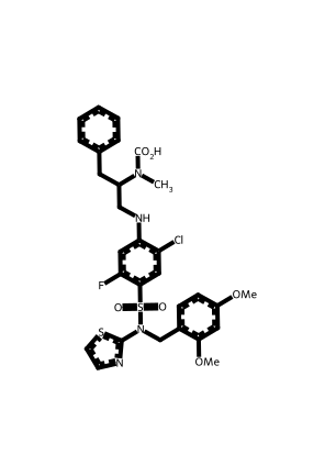 COc1ccc(CN(c2nccs2)S(=O)(=O)c2cc(Cl)c(NCC(Cc3ccccc3)N(C)C(=O)O)cc2F)c(OC)c1